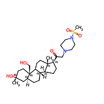 C[C@@]1(O)CC[C@]2(CO)C3CC[C@]4(C)[C@@H](C(=O)CN5CCN(S(C)(=O)=O)CC5)CC[C@H]4[C@@H]3CC[C@H]2C1